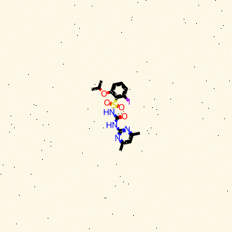 Cc1cc(C)nc(NC(=O)NS(=O)(=O)c2c(I)cccc2OC(C)C)n1